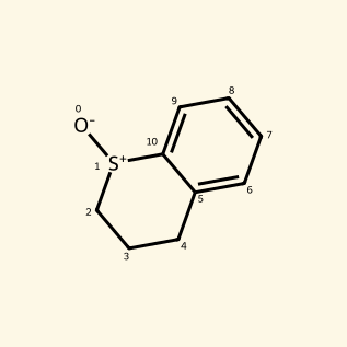 [O-][S+]1CCCc2ccccc21